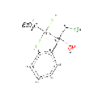 CCOC(=O)C(F)(F)C(O)(CCl)c1ccccc1